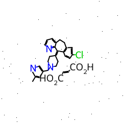 Cc1cncc(CN2CCC(=C3c4ccc(Cl)cc4CCc4cccnc43)CC2)c1.O=C(O)C=CC(=O)O